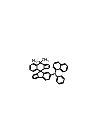 CC1(C)c2ccccc2C2(c3ccccc3-c3ccc(N(c4ccccc4)c4cccc5ccccc45)cc32)c2ccccc21